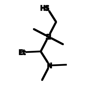 CCC(N(C)C)[Si](C)(C)CS